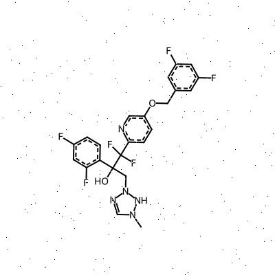 CN1C=NN(CC(O)(c2ccc(F)cc2F)C(F)(F)c2ccc(OCc3cc(F)cc(F)c3)cn2)N1